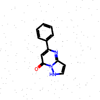 O=c1cc(-c2ccccc2)nc2cc[nH]n12